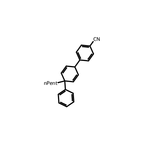 CCCCCC1(c2ccccc2)C=CC(c2ccc(C#N)cc2)C=C1